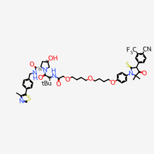 Cc1ncsc1-c1ccc(CNC(=O)[C@@H]2C[C@@H](O)CN2C(=O)[C@@H](NC(=O)COCCCCOCCCCOc2ccc(N3C(=S)C(c4ccc(C#N)c(C(F)(F)F)c4)C(=O)C3(C)C)cc2)C(C)(C)C)cc1